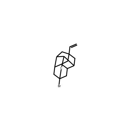 C=CC12CC3C4CC5(Br)CC3C(C1)C(C5)C4C2